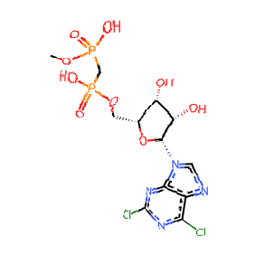 COP(=O)(O)CP(=O)(O)OC[C@H]1O[C@@H](n2cnc3c(Cl)nc(Cl)nc32)[C@@H](O)[C@H]1O